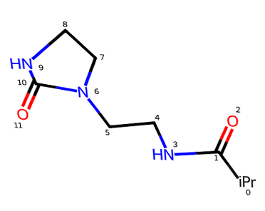 CC(C)C(=O)NCCN1CCNC1=O